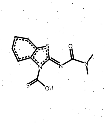 CN(C)C(=O)N=c1sc2ccccc2n1C(O)=S